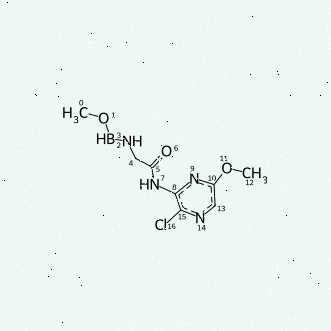 COBNCC(=O)Nc1nc(OC)cnc1Cl